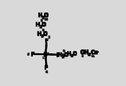 F[B-](F)(F)F.O.O.O.O.O.O.[Cu]